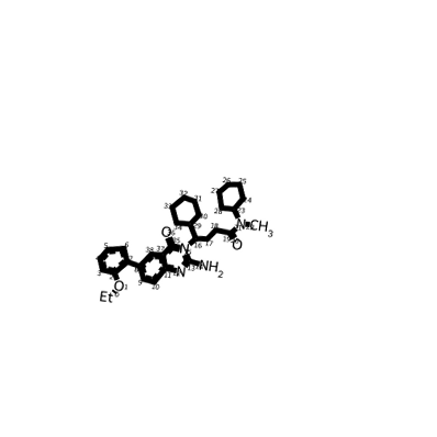 CCOc1ccccc1-c1ccc2nc(N)n(C(CCC(=O)N(C)C3CCCCC3)C3CCCCC3)c(=O)c2c1